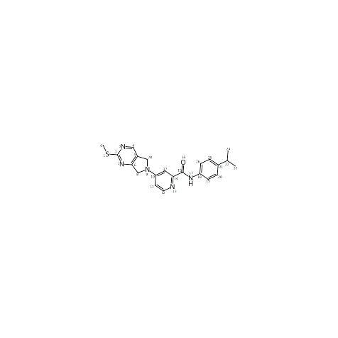 CSc1ncc2c(n1)CN(c1ccnc(C(=O)Nc3ccc(C(C)C)cc3)c1)C2